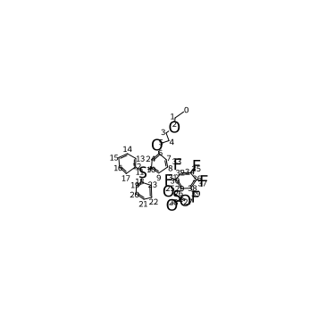 CCOCCOc1cccc([S+](c2ccccc2)c2ccccc2)c1.O=S(=O)([O-])c1c(F)c(F)c(F)c(F)c1F